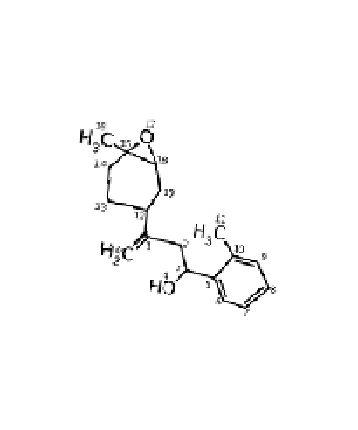 C=C(CC(O)c1ccccc1C)C1CCC2(C)OC2C1